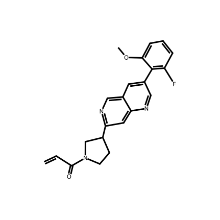 C=CC(=O)N1CCC(c2cc3ncc(-c4c(F)cccc4OC)cc3cn2)C1